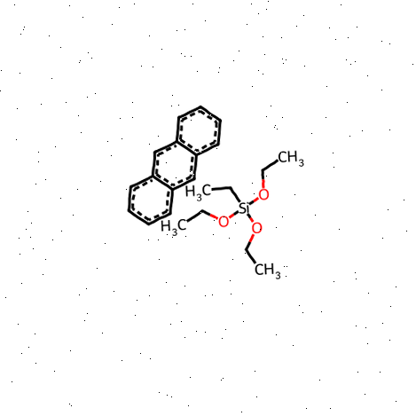 CCO[Si](CC)(OCC)OCC.c1ccc2cc3ccccc3cc2c1